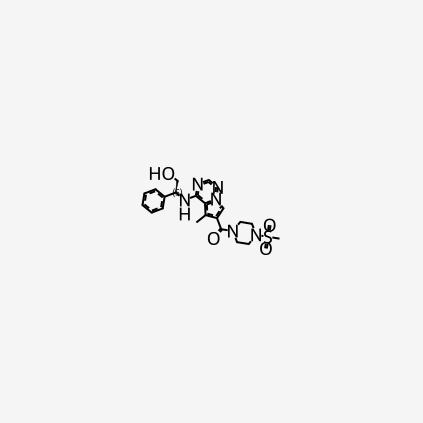 Cc1c(C(=O)N2CCN(S(C)(=O)=O)CC2)cn2ncnc(N[C@H](CO)c3ccccc3)c12